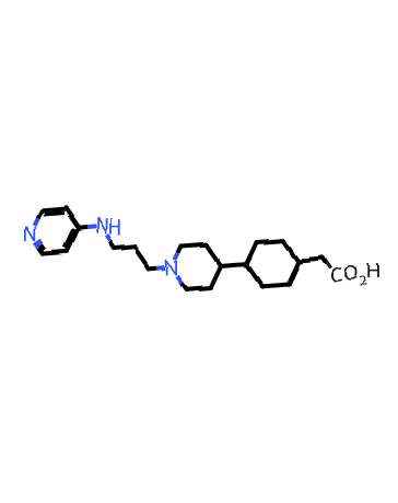 O=C(O)CC1CCC(C2CCN(CCCNc3ccncc3)CC2)CC1